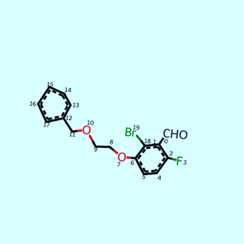 O=Cc1c(F)ccc(OCCOCc2ccccc2)c1Br